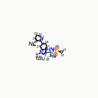 CC(C)(C)Cn1cc([C@H](NS(=O)(=O)C2CC2)C(F)F)c2ccc(-c3ncccc3C#N)cc21